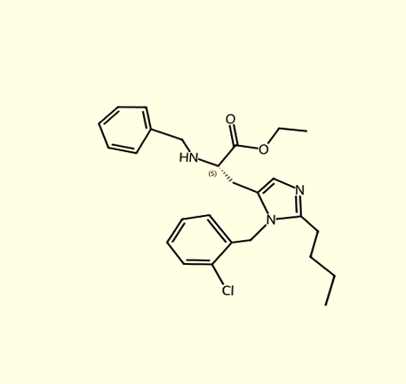 CCCCc1ncc(C[C@H](NCc2ccccc2)C(=O)OCC)n1Cc1ccccc1Cl